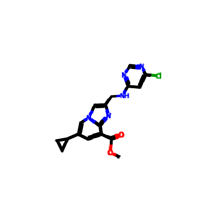 COC(=O)c1cc(C2CC2)cn2cc(CNc3cc(Cl)ncn3)nc12